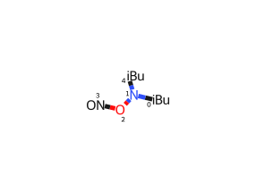 CCC(C)N(ON=O)C(C)CC